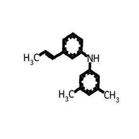 CC=Cc1cccc(Nc2cc(C)cc(C)c2)c1